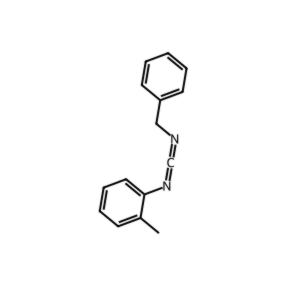 Cc1ccccc1N=C=NCc1ccccc1